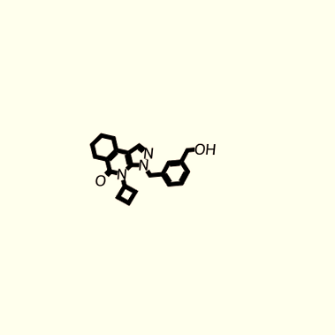 O=c1c2c(c3cnn(Cc4cccc(CO)c4)c3n1C1CCC1)CCCC2